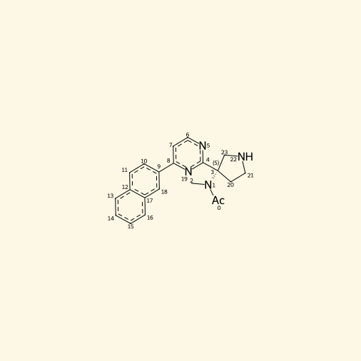 CC(=O)N(C)[C@@]1(c2nccc(-c3ccc4ccccc4c3)n2)CCNC1